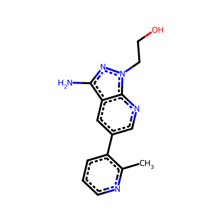 Cc1ncccc1-c1cnc2c(c1)c(N)nn2CCO